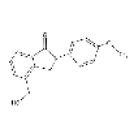 O=C1c2cccc(CO)c2CN1c1ccc(OC(F)(F)F)cc1